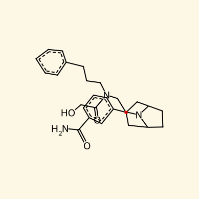 NC(=O)c1cccc(C2CC3CCC(C2)N3CCN(CCCc2ccccc2)C(=O)CO)c1